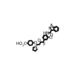 Cn1nc(C(=O)Nc2ccc(C(F)C(=O)CC(OC3CCC(C(=O)O)CC3)N3CCCC3)cc2Cl)c2ccccc21